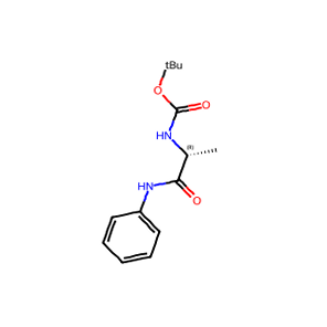 C[C@@H](NC(=O)OC(C)(C)C)C(=O)Nc1ccccc1